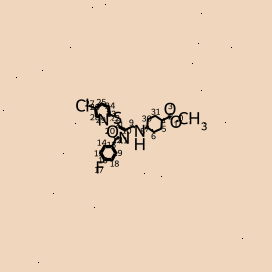 COC(=O)C1CCC(NCc2nc(-c3ccc(F)cc3)oc2Sc2ccc(Cl)cn2)CC1